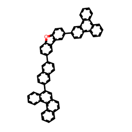 c1ccc2c(c1)ccc1cc(-c3ccc4cc(-c5ccc6oc7ccc(-c8ccc9c%10ccccc%10c%10ccccc%10c9c8)cc7c6c5)ccc4c3)c3ccccc3c12